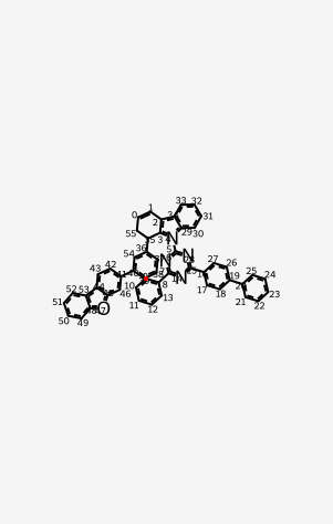 C1=Cc2c(n(-c3nc(-c4ccccc4)nc(-c4ccc(-c5ccccc5)cc4)n3)c3ccccc23)C(c2cccc(-c3ccc4c(c3)oc3ccccc34)c2)C1